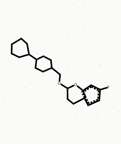 Fc1ccc2c(c1)OC(OCC1CCC(C3CCCCC3)CC1)CC2